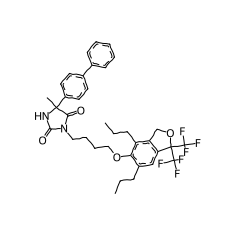 CCCc1cc2c(c(CCC)c1OCCCCN1C(=O)NC(C)(c3ccc(-c4ccccc4)cc3)C1=O)COC2(C(F)(F)F)C(F)(F)F